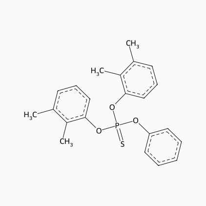 Cc1cccc(OP(=S)(Oc2ccccc2)Oc2cccc(C)c2C)c1C